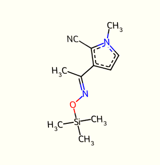 CC(=NO[Si](C)(C)C)c1ccn(C)c1C#N